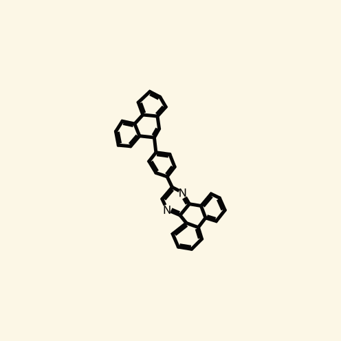 c1ccc2c(c1)cc(-c1ccc(-c3cnc4c5ccccc5c5ccccc5c4n3)cc1)c1ccccc12